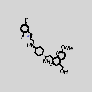 COc1ccc2c(CO)ccc(CC(N)[C@H]3CC[C@H](NC/C=C/c4cc(F)ccc4F)CC3)c2n1